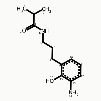 CC(C)C(=O)NCCCc1cccc(N)c1O